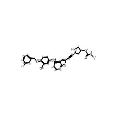 CCNC(=O)O[C@@H]1CN[C@H](C#Cc2cc3c(Nc4ccc(OCc5cccc(F)c5)c(Cl)c4)ncnc3s2)C1